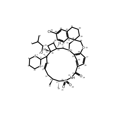 CC(C)CO[C@@]1(C2SCCCS2)/C=C/C[C@H](C)[C@@H](C)S(=O)(=O)NC(=O)c2ccc3c(c2)N(C[C@@H]2CC[C@H]21)C[C@@]1(CCCc2cc(Cl)ccc21)CO3